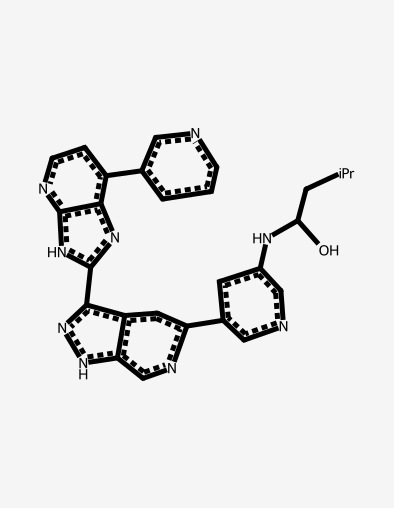 CC(C)CC(O)Nc1cncc(-c2cc3c(-c4nc5c(-c6cccnc6)ccnc5[nH]4)n[nH]c3cn2)c1